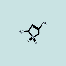 CC1=CC(C)S(=O)(=O)C1